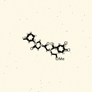 COCCN(CC(=O)N1CC(=O)N(c2cccc(C)c2)C1)C(=O)c1ccc(Cl)c(Cl)c1